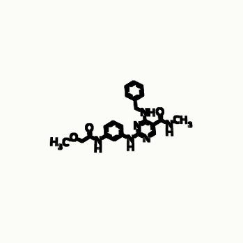 CNC(=O)c1cnc(Nc2cccc(NC(=O)COC)c2)nc1NCc1ccccc1